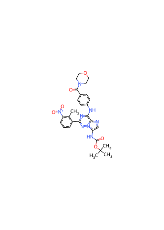 Cc1c(-c2nc(Nc3ccc(C(=O)N4CCOCC4)cc3)c3ncc(NC(=O)OC(C)(C)C)n3n2)cccc1[N+](=O)[O-]